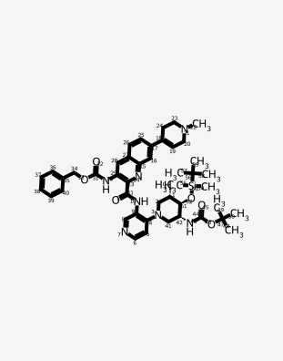 C[C@H]1CN(c2ccncc2NC(=O)c2nc3cc(C4=CCN(C)CC4)ccc3cc2NC(=O)OCc2ccccc2)C[C@@H](NC(=O)OC(C)(C)C)[C@@H]1O[Si](C)(C)C(C)(C)C